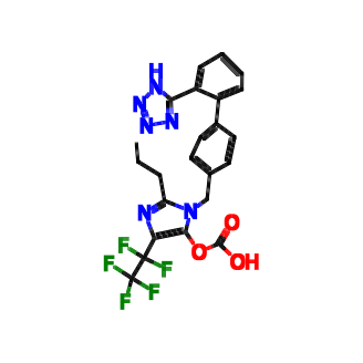 CCCc1nc(C(F)(F)C(F)(F)F)c(OC(=O)O)n1Cc1ccc(-c2ccccc2-c2nnn[nH]2)cc1